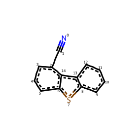 N#Cc1cccc2sc3ccccc3c12